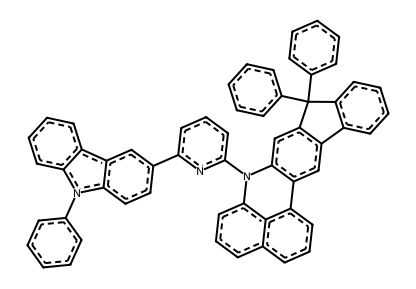 c1ccc(-n2c3ccccc3c3cc(-c4cccc(N5c6cc7c(cc6-c6cccc8cccc5c68)-c5ccccc5C7(c5ccccc5)c5ccccc5)n4)ccc32)cc1